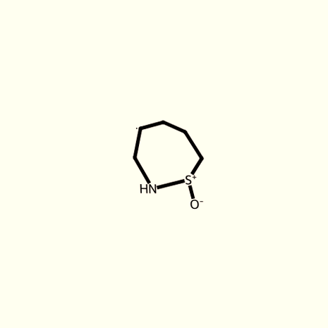 [O-][S+]1CCC[CH]CN1